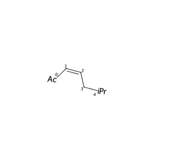 CC(=O)/C=C\CC(C)C